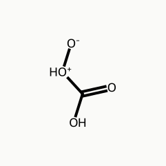 O=C(O)[OH+][O-]